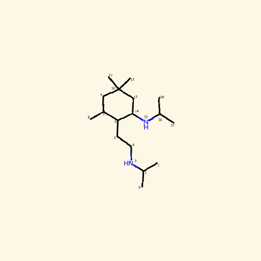 CC(C)NCCC1C(C)CC(C)(C)CC1NC(C)C